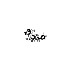 O=C([C@@H](S[C@@H]1O[C@H](CO)[C@H](O)[C@H](n2cc(-c3cc(F)c(F)c(F)c3)nn2)[C@H]1O)C1(O)CCC1)N1CCC1